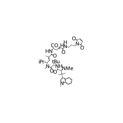 CN[C@H](C(=O)N[C@H](C(=O)N(C)[C@H](/C=C(\C)C(=O)N[C@H](CCC(=O)NCCCN1C(=O)C=CC1=O)C(=O)O)C(C)C)C(C)(C)C)C(C)(C)c1cn(C)c2ccccc12